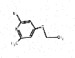 CCOc1cc(C)nc(Br)c1